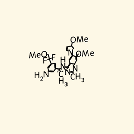 COCC(F)(F)c1cc(N)cc([C@@H](C)Nc2nc(C)nc3cc(OC)c(N4CCC(OC)C4)cc23)c1